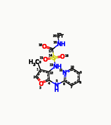 Cc1coc(Nc2ccccn2)c1NS(=O)(=O)C(=O)NC(C)C